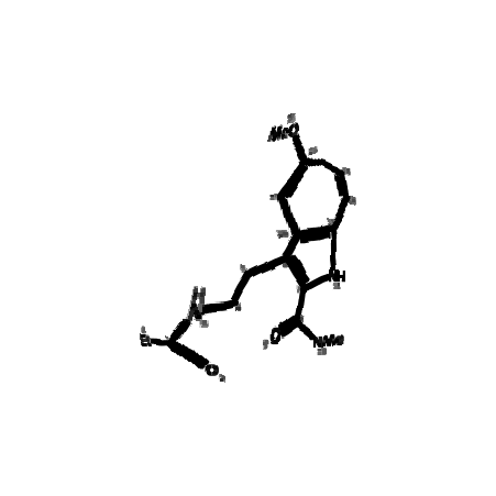 CCC(=O)NCCc1c(C(=O)NC)[nH]c2ccc(OC)cc12